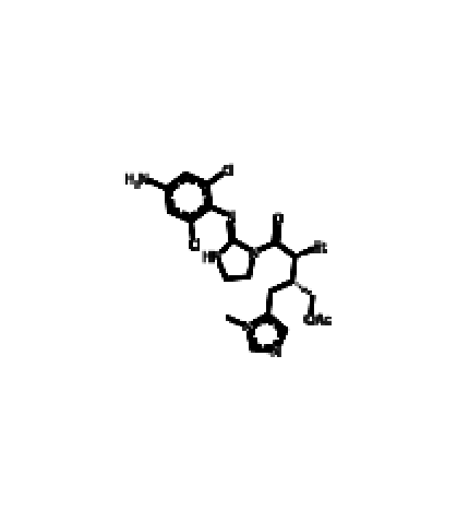 CC[C@H](C(=O)N1CCN/C1=N\c1c(Cl)cc(N)cc1Cl)[C@H](COC(C)=O)Cc1cncn1C